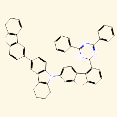 C1=Cc2c(sc3ccc(-c4ccc5c(c4)c4c(n5-c5ccc6c(c5)oc5cccc(C7N=C(c8ccccc8)N=C(c8ccccc8)N7)c56)CCCC4)cc23)CC1